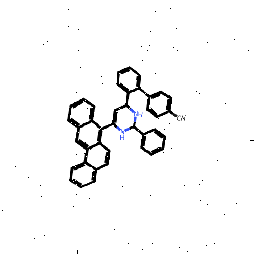 N#Cc1ccc(-c2ccccc2C2C=C(c3c4ccccc4cc4c3ccc3ccccc34)NC(c3ccccc3)N2)cc1